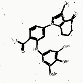 COc1cc(Nc2cc(-n3cc(C)c4c3CCCC4=O)ccc2C(N)=O)cc(OC)c1OC